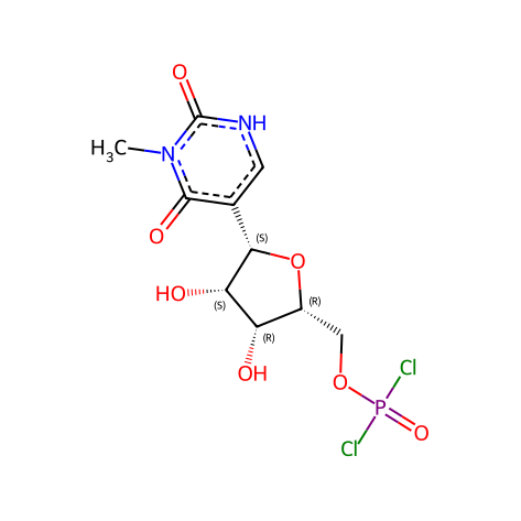 Cn1c(=O)[nH]cc([C@@H]2O[C@H](COP(=O)(Cl)Cl)[C@H](O)[C@@H]2O)c1=O